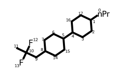 CCCC1CCC(C2CCC(CC(C)(F)F)CC2)CC1